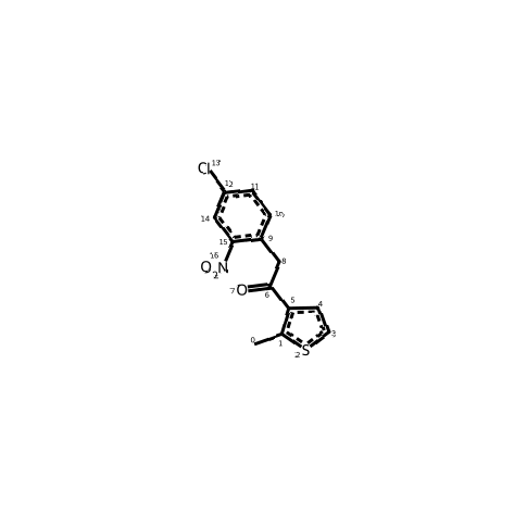 Cc1sccc1C(=O)Cc1ccc(Cl)cc1[N+](=O)[O-]